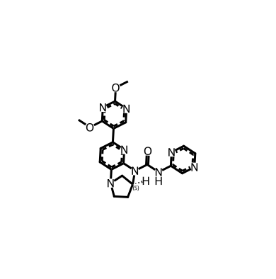 COc1ncc(-c2ccc3c(n2)N(C(=O)Nc2cnccn2)[C@H]2CCN3C2)c(OC)n1